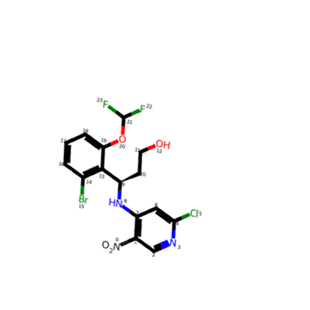 O=[N+]([O-])c1cnc(Cl)cc1N[C@H](CCO)c1c(Br)cccc1OC(F)F